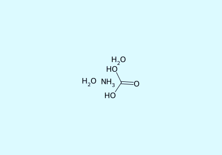 N.O.O.O=C(O)O